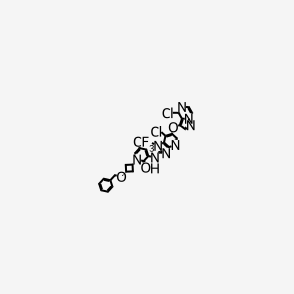 Cn1c(Nc2cc(C(F)(F)F)cn([C@H]3C[C@@H](OCc4ccccc4)C3)c2=O)nc2ncc(Oc3cnn4ccnc(Cl)c34)c(Cl)c21